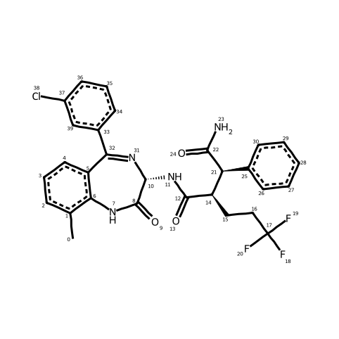 Cc1cccc2c1NC(=O)[C@@H](NC(=O)[C@H](CCC(F)(F)F)[C@@H](C(N)=O)c1ccccc1)N=C2c1cccc(Cl)c1